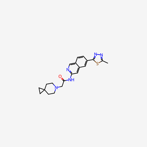 Cc1nnc(-c2ccc3cnc(NC(=O)CN4CCC5(CC4)CC5)cc3c2)s1